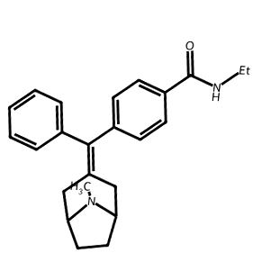 CCNC(=O)c1ccc(C(=C2CC3CCC(C2)N3C)c2ccccc2)cc1